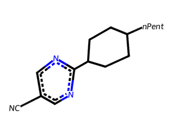 CCCCCC1CCC(c2ncc(C#N)cn2)CC1